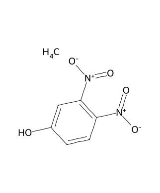 C.O=[N+]([O-])c1ccc(O)cc1[N+](=O)[O-]